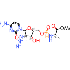 COC(=O)[C@H](C)N[PH](=O)OC[C@H]1OC(n2ccc(N)nc2=O)[C@](C)(N=[N+]=[N-])[C@@H]1O